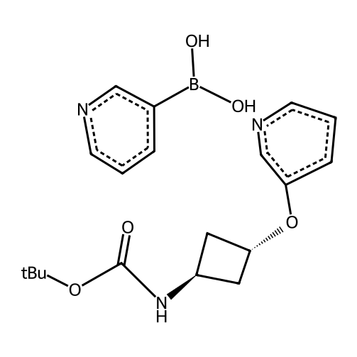 CC(C)(C)OC(=O)N[C@H]1C[C@H](Oc2cccnc2)C1.OB(O)c1cccnc1